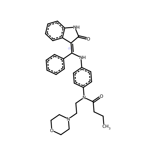 CCCC(=O)N(CCN1CCOCC1)c1ccc(N/C(=C2\C(=O)Nc3ccccc32)c2ccccc2)cc1